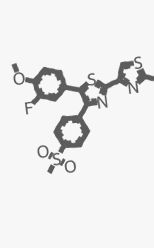 COc1ccc(-c2sc(-c3csc(C)n3)nc2-c2ccc(S(C)(=O)=O)cc2)cc1F